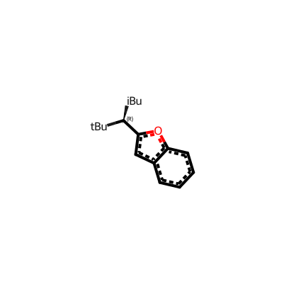 CCC(C)[C@@H](c1cc2ccccc2o1)C(C)(C)C